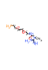 CN(CC(=O)NCCOCCOCCP)C(=N)N